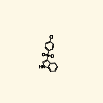 O=S(=O)(c1ccc(Cl)cc1)c1c[nH]c2ccccc12